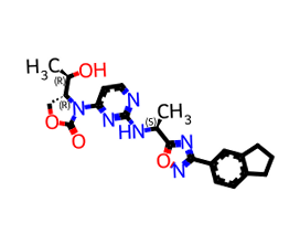 C[C@H](Nc1nccc(N2C(=O)OC[C@@H]2[C@@H](C)O)n1)c1nc(-c2ccc3c(c2)CCC3)no1